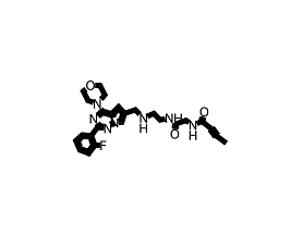 CC#CC(=O)NCC(=O)NCCNCc1cc2c(N3CCOCC3)nc(-c3ccccc3F)nn2c1